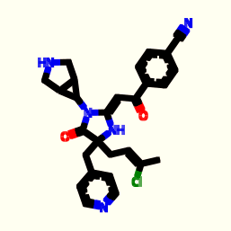 CC(Cl)=CCC1(Cc2ccncc2)NC(=CC(=O)c2ccc(C#N)cc2)N(C2C3CNCC32)C1=O